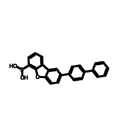 OB(O)c1cccc2c1oc1ccc(-c3ccc(-c4ccccc4)cc3)cc12